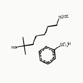 CCCCCCCCCCCCCCC[C](C)(C)[Na].O=S(=O)(O)c1ccccc1